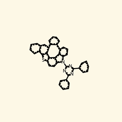 c1ccc(-c2nc(-c3ccccc3)nc(-n3c4cccc5c6ccccc6c6cc7ccccc7c7sc8ccc3c(c8c67)c54)n2)cc1